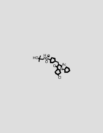 CC(=O)c1c(Cc2ccc(S(=O)(=O)NCC(C)(C)O)cc2)c(=O)c2ccc(Cl)cc2n1-c1ccccc1